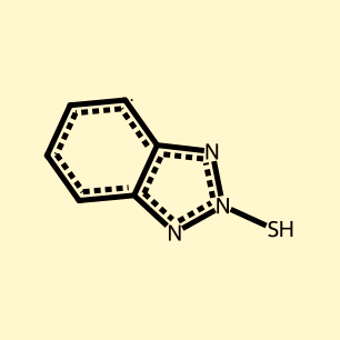 Sn1nc2[c]cccc2n1